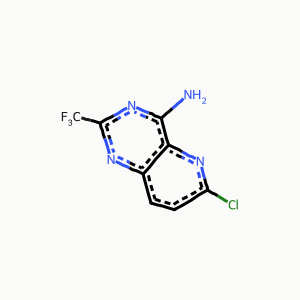 Nc1nc(C(F)(F)F)nc2ccc(Cl)nc12